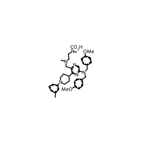 COc1ccc(CN(Cc2ccc(OC)cc2)c2cnc(CN(C)CCN(C)C(=O)O)c(C3CCN(c4cccc(C)c4)CC3)n2)cc1